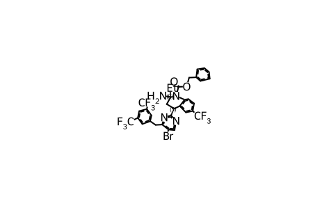 CC[C@]1(N)C[C@H](c2ncc(Br)c(Cc3cc(C(F)(F)F)cc(C(F)(F)F)c3)n2)c2cc(C(F)(F)F)ccc2N1C(=O)OCc1ccccc1